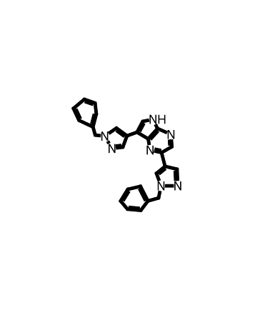 c1ccc(Cn2cc(-c3cnc4[nH]cc(-c5cnn(Cc6ccccc6)c5)c4n3)cn2)cc1